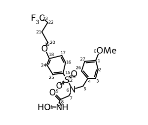 COc1ccc(CN(CC(=O)NO)S(=O)(=O)c2ccc(OCCCC(F)(F)F)cc2)cc1